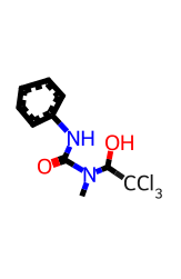 CN(C(=O)Nc1ccccc1)C(O)C(Cl)(Cl)Cl